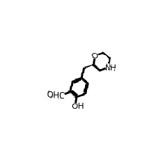 O=Cc1cc(C[C@@H]2CNCCO2)ccc1O